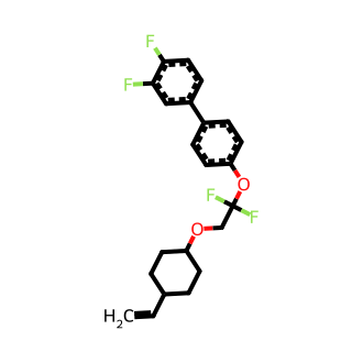 C=CC1CCC(OCC(F)(F)Oc2ccc(-c3ccc(F)c(F)c3)cc2)CC1